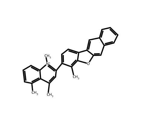 Cc1c(-c2cc(C)c3c(C)cccc3[n+]2C)ccc2c1oc1cc3ccccc3cc12